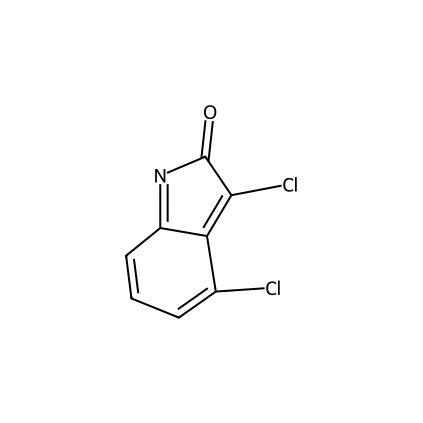 O=C1N=c2cccc(Cl)c2=C1Cl